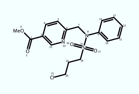 COC(=O)c1ccc(CN(c2ccccc2)S(=O)(=O)CCCCl)nc1